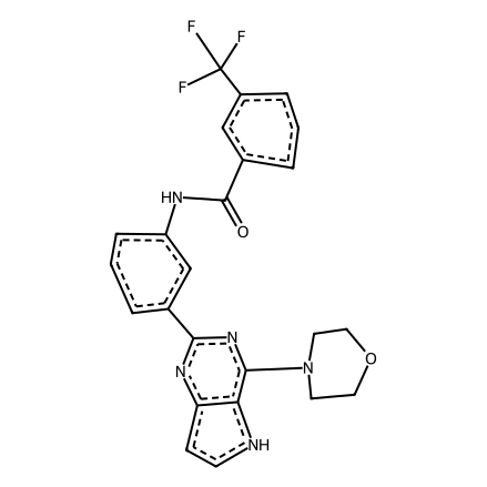 O=C(Nc1cccc(-c2nc(N3CCOCC3)c3[nH]ccc3n2)c1)c1cccc(C(F)(F)F)c1